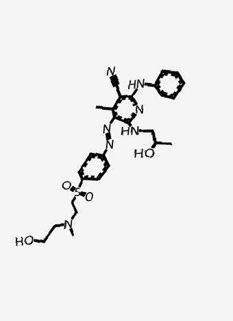 Cc1c(C#N)c(Nc2ccccc2)nc(NCC(C)O)c1/N=N/c1ccc(S(=O)(=O)CCN(C)CCO)cc1